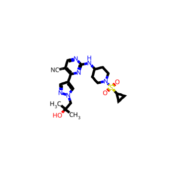 CC(C)(O)Cn1cc(-c2nc(NC3CCN(S(=O)(=O)C4CC4)CC3)ncc2C#N)cn1